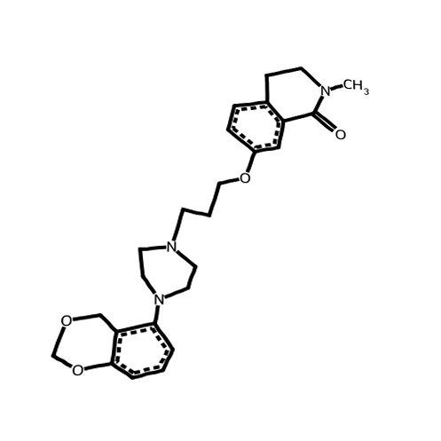 CN1CCc2ccc(OCCCN3CCN(c4cccc5c4COCO5)CC3)cc2C1=O